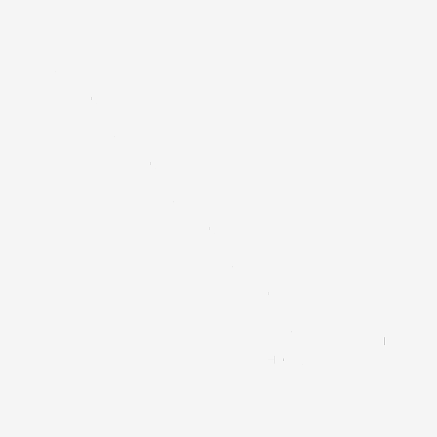 CCCCC(CC)COCCOCCOCCOCCOCCOCCOCCOCCO